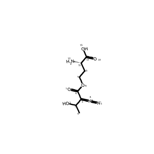 CC(O)C(=[N+]=[N-])C(=O)OCC[C@H](N)C(=O)O